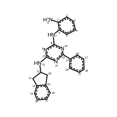 Nc1ccccc1Nc1nc(NC2Cc3ccccc3C2)nc(-c2ccccc2)n1